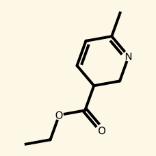 CCOC(=O)C1C=CC(C)=NC1